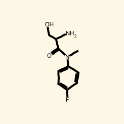 CN(C(=O)C(N)CO)c1ccc(F)cc1